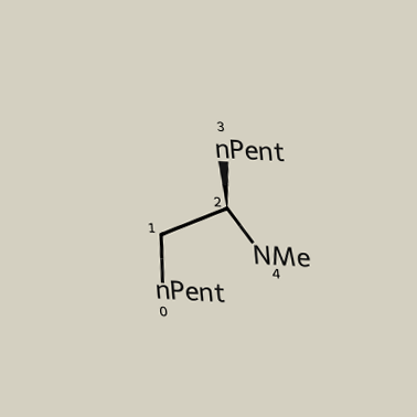 CCCCCC[C@@H](CCCCC)NC